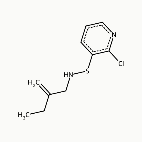 C=C(CC)CNSc1cccnc1Cl